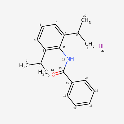 CC(C)c1cccc(C(C)C)c1NC(=O)c1ccccc1.I